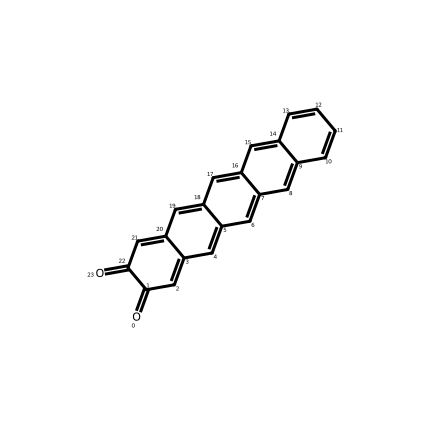 O=C1C=c2cc3cc4cc5ccccc5cc4cc3cc2=CC1=O